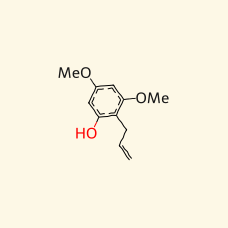 C=CCc1c(O)cc(OC)cc1OC